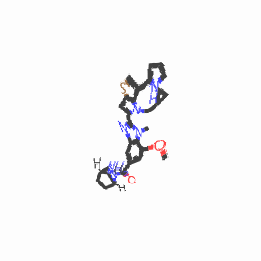 COc1cc(C(=O)N2C[C@H]3CC[C@@H]2[C@@H]3N)cc2nc(-c3cc4scc(-c5ccc[nH]5)c4n3CC3CC3)n(C)c12